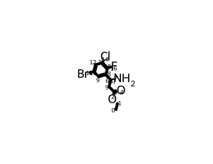 CCOC(=O)C[C@H](N)c1cc(Br)cc(Cl)c1F